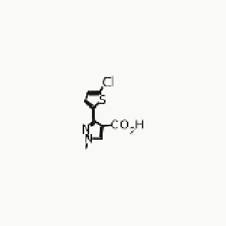 Cn1cc(C(=O)O)c(-c2ccc(Cl)s2)n1